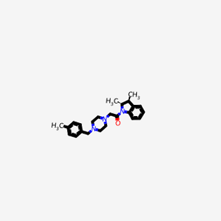 Cc1ccc(CN2CCN(CC(=O)N3c4ccccc4[C@H](C)[C@H]3C)CC2)cc1